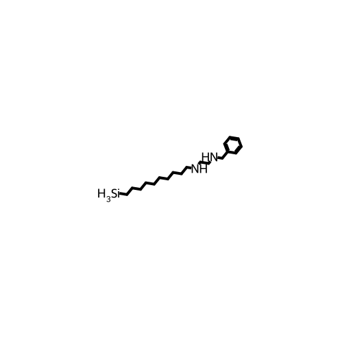 [SiH3]CCCCCCCCCCNCCNCc1ccccc1